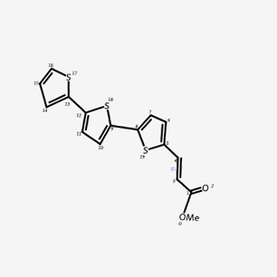 COC(=O)/C=C/c1ccc(-c2ccc(-c3cccs3)s2)s1